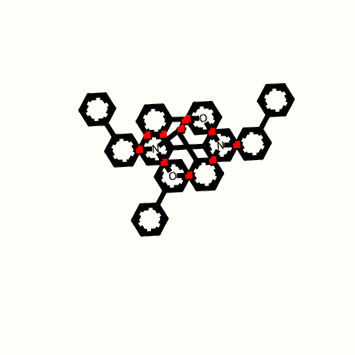 c1ccc(-c2cccc(N(c3cccc(-c4ccccc4)c3)c3cccc4c3C3(c5ccccc5O4)c4ccccc4Oc4cccc(N(c5cccc(-c6ccccc6)c5)c5cccc(-c6ccccc6)c5)c43)c2)cc1